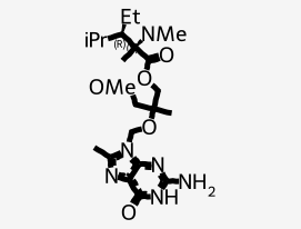 CC[C@H](C(C)C)[C@](C)(NC)C(=O)OCC(C)(COC)OCn1c(C)nc2c(=O)[nH]c(N)nc21